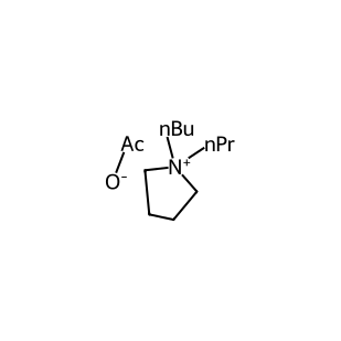 CC(=O)[O-].CCCC[N+]1(CCC)CCCC1